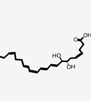 CC/C=C\CC/C=C/C=C\C=C\C=C\[C@@H](O)[C@@H](O)C/C=C\CCC(=O)O